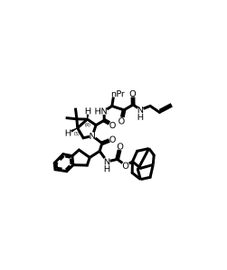 C=CCNC(=O)C(=O)C(CCC)NC(=O)C1[C@@H]2[C@H](CN1C(=O)C(NC(=O)OC13CC4CC(CC(C4)C1)C3)C1Cc3ccccc3C1)C2(C)C